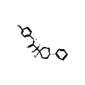 O=C(Nc1ccc(Cl)cc1)C(F)(F)[C@]1(O)CC[C@H](c2ccccc2)CC1